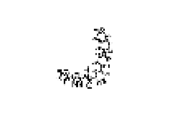 O=C(Nc1nnc(-c2ccco2)o1)c1cccc(-c2ccc(-c3ccc4ccccc4c3)cc2)c1